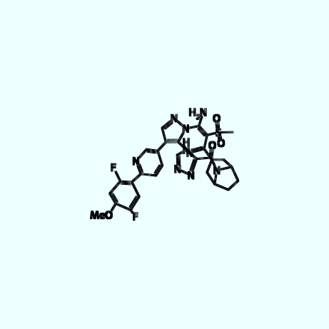 COc1cc(F)c(-c2ccc(-c3cnn4c(N)c(S(C)(=O)=O)c(C5CC6CCC(C5)N6C(=O)c5nnc[nH]5)nc34)cn2)cc1F